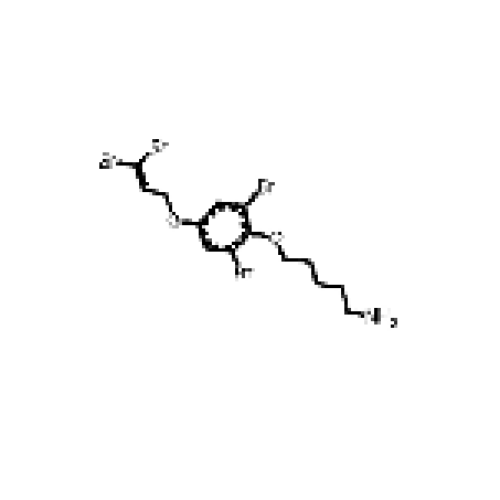 NCCCCCOc1c(Br)cc(OCC=C(Br)Br)cc1Br